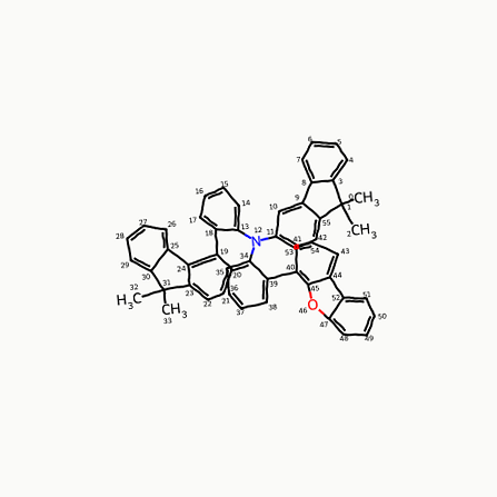 CC1(C)c2ccccc2-c2cc(N(c3ccccc3-c3cccc4c3-c3ccccc3C4(C)C)c3ccccc3-c3cccc4c3oc3ccccc34)ccc21